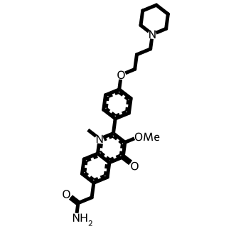 COc1c(-c2ccc(OCCCN3CCCCC3)cc2)n(C)c2ccc(CC(N)=O)cc2c1=O